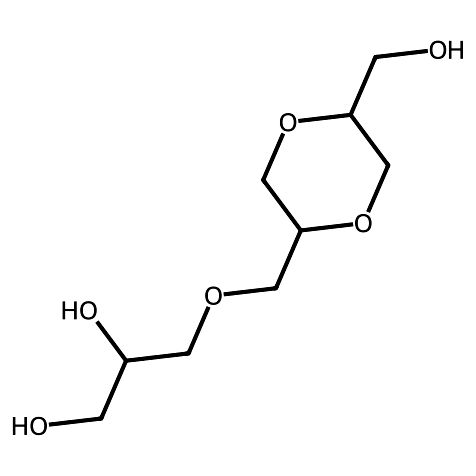 OCC(O)COCC1COC(CO)CO1